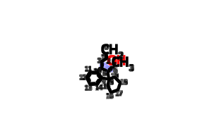 C=C(O)/C=C\C(=C/C)C1(c2ccccc2)CCCCC1